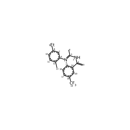 C=C(N/C(C)=N/c1cc(CC)ccc1C)c1cccc(C(F)(F)F)c1